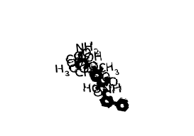 CO[C@@H]1[C@@H](OC(N)=O)[C@@H](O)[C@H](Oc2ccc3c(O)c(NC(=O)c4cccc(-c5ccccc5)c4)c(=O)oc3c2C)OC1(C)C